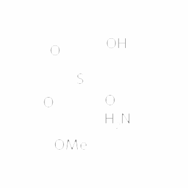 CN.COOS(=O)(=O)O